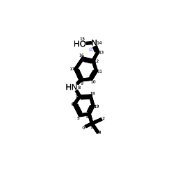 CC(C)(C)c1ccc(Nc2ccc(/C=N\O)cc2)cc1